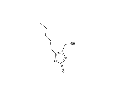 CCCCCc1oc(=O)oc1C[NH]